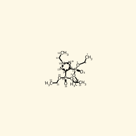 CCOP(=O)(OCC)c1nn(CC)nc1P(=O)(OCC)OCC